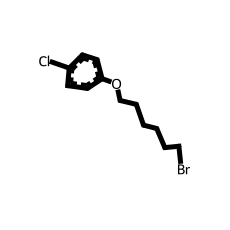 Clc1ccc(OCCCCCCBr)cc1